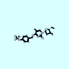 CC[C@H]1O[C@@H](n2cc(C)c(OCc3ccc(OS(=O)(=O)F)cc3)nc2=O)CC1C